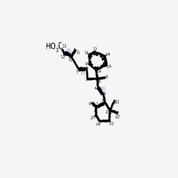 CC1=C(/C=C/C(C)(C/C=C/C(C)=C/C(=O)O)c2ccccc2)C(C)(C)CCC1